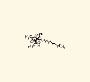 CCCCCCCCCCCCC(CC(=O)O)(CC(C)O)CC(C)O